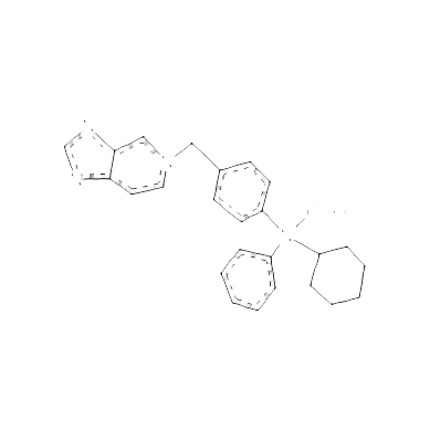 O=C[N+](c1ccccc1)(c1ccc(Cn2ccc3ncnc-3c2)cc1)C1CCCCC1